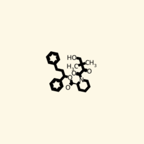 CC(C)(CO)C(=O)C(=O)N1CCCC[C@H]1C(=O)OC(CCc1ccccc1)c1ccccc1